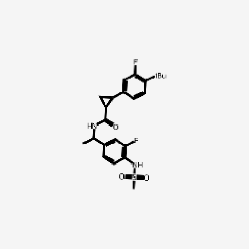 CC(NC(=O)C1CC1c1ccc(C(C)(C)C)c(F)c1)c1ccc(NS(C)(=O)=O)c(F)c1